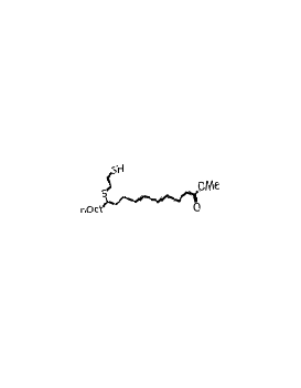 CCCCCCCCC(CCCCCCCCC(=O)OC)SCCS